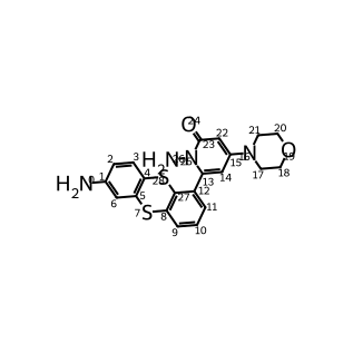 Nc1ccc2c(c1)Sc1cccc(-c3cc(N4CCOCC4)cc(=O)n3N)c1S2